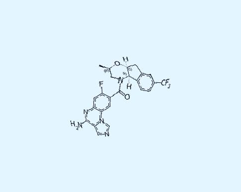 C[C@@H]1CN(C(=O)c2cc3c(cc2F)nc(N)c2cncn23)[C@@H]2c3ccc(C(F)(F)F)cc3C[C@@H]2O1